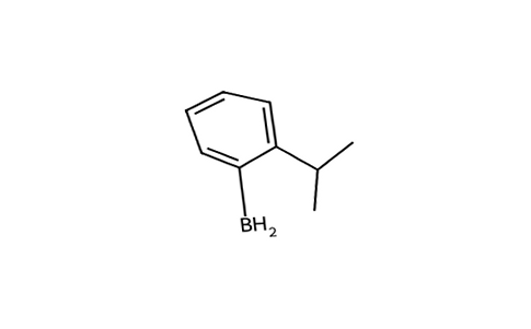 Bc1ccccc1C(C)C